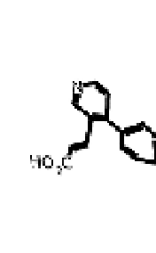 O=C(O)C=Cc1cnccc1-c1ccc(F)cc1